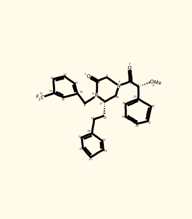 CO[C@@H](C(=O)N1CC(=O)N(Cc2cccc(C(F)(F)F)c2)[C@@H](CCc2ccccc2)C1)c1ccccc1